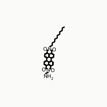 CCCCCCCCCCCCN1C(=O)c2ccc3c4ccc5c6c(ccc(c7ccc(c2c37)C1=O)c64)C(=O)N(CCN)C5=O